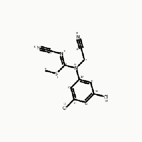 CSC(=NC#N)N(CC#N)c1cc(Cl)cc(Cl)c1